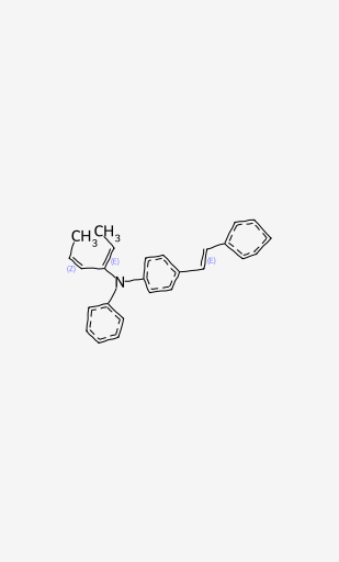 C/C=C\C(=C/C)N(c1ccccc1)c1ccc(/C=C/c2ccccc2)cc1